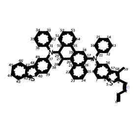 C=C/C=C\c1sc2ccc(N(c3ccccc3)c3cc4c(c5ccccc35)C(C)C(N(c3ccccc3)c3ccc5sc6ccccc6c5c3)c3ccccc3-4)cc2c1C